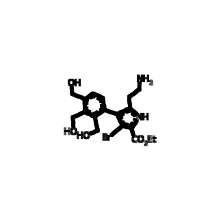 CCOC(=O)c1[nH]c(CCN)c(-c2ccc(CO)c(CO)c2CO)c1Br